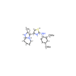 COc1ccc(Nc2nc(-c3c(C)nc4ccccn34)cs2)c(OC)c1